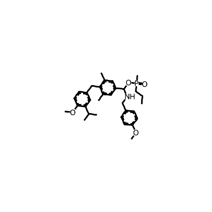 CCCP(C)(=O)OC(NCc1ccc(OC)cc1)c1cc(C)c(Cc2ccc(OC)c(C(C)C)c2)c(C)c1